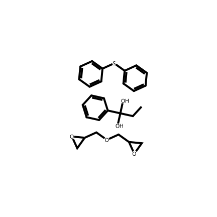 C(OCC1CO1)C1CO1.CCC(O)(O)c1ccccc1.c1ccc(Sc2ccccc2)cc1